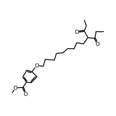 CCC(=O)C(CCCCCCCCCOc1ccc(C(=O)OC)cc1)C(=O)CC